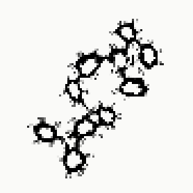 c1ccc(-c2nc(-c3cccc(-c4cccc(-n5c6ccccc6c6cc7c8ccccc8n(-c8ccccc8)c7cc65)c4)c3)cc(-c3ccccc3-c3ccccc3)n2)cc1